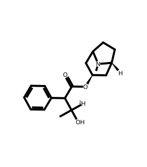 [2H]C(C)(O)C(C(=O)O[C@H]1CC2CC[C@H](C1)N2C)c1ccccc1